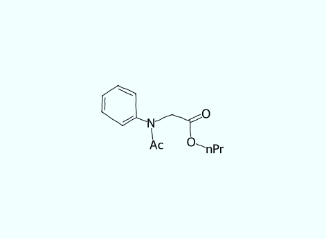 CCCOC(=O)CN(C(C)=O)c1ccccc1